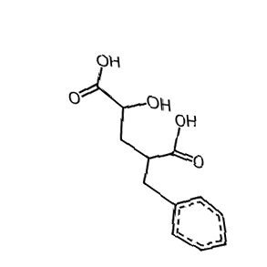 O=C(O)C(O)CC(Cc1ccccc1)C(=O)O